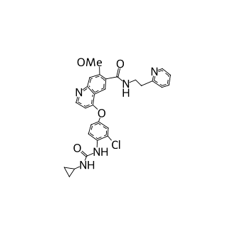 COc1cc2nccc(Oc3ccc(NC(=O)NC4CC4)c(Cl)c3)c2cc1C(=O)NCCc1ccccn1